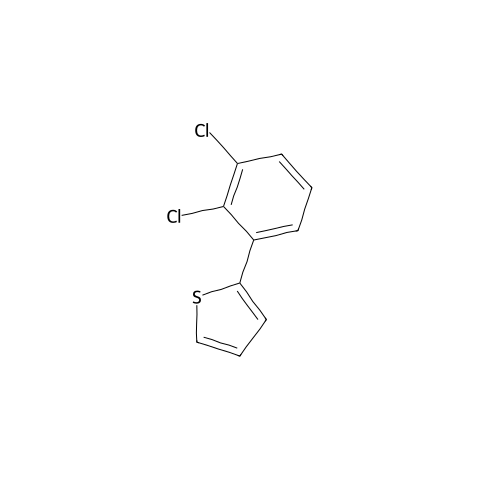 Clc1cccc(-c2cccs2)c1Cl